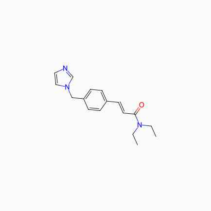 CCN(CC)C(=O)C=Cc1ccc(Cn2ccnc2)cc1